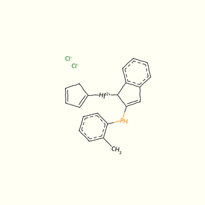 Cc1ccccc1PC1=Cc2ccccc2[CH]1[Hf+2][C]1=CC=CC1.[Cl-].[Cl-]